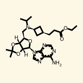 CCOC(=O)CC[C@H]1C[C@@H](N(C[C@H]2O[C@@H](n3cnc4c(N)ncnc43)[C@@H]3OC(C)(C)O[C@@H]32)C(C)C)C1